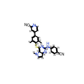 Cc1cc(-c2ccnc(C#N)c2)cc(C)c1Sc1nc(Nc2ccc(C#N)cc2)nc2ccn(C)c12